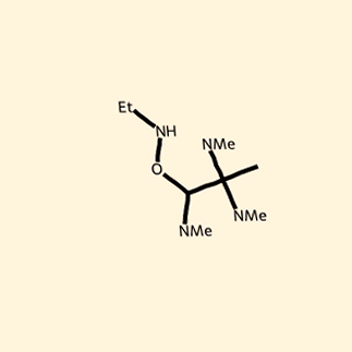 [CH2]CNOC(NC)C(C)(NC)NC